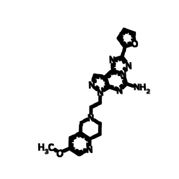 COc1cnc2c(c1)CN(CCn1ncc3c1nc(N)n1nc(-c4ccco4)nc31)CC2